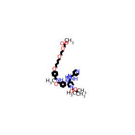 COC(=O)COCCCOCCCCCOc1ccc([C@@H](C)NC(=O)c2cccc(NC3(c4nnc(-c5ccncc5)[nH]4)CCN(C(=O)OC(C)(C)C)CC3)c2)cc1